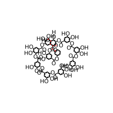 O=C(Oc1cccc(OC(=O)c2cc(O)c(O)c(OC(=O)c3cc(O)c(O)c(OC(=O)c4cc(O)c(O)c(OC(=O)c5cc(O)c(O)c(OC(=O)c6cc(O)c(O)c(O)c6)c5)c4)c3)c2)c1)c1cc(O)c(O)c(OC(=O)c2cc(O)c(O)c(OC(=O)c3cc(O)c(O)c(OC(=O)c4cc(O)c(O)c(OC(=O)c5cc(O)c(O)c(O)c5)c4)c3)c2)c1